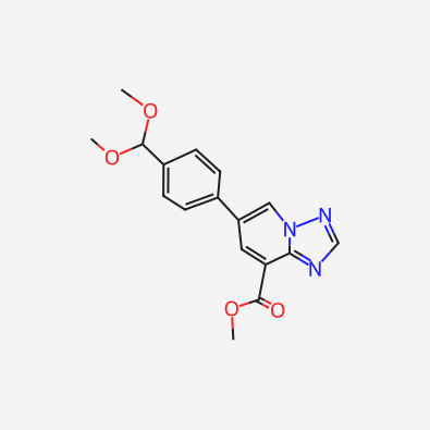 COC(=O)c1cc(-c2ccc(C(OC)OC)cc2)cn2ncnc12